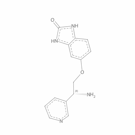 N[C@@H](COc1ccc2[nH]c(=O)[nH]c2c1)c1cccnc1